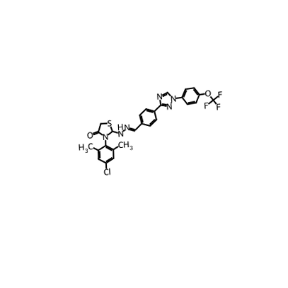 Cc1cc(Cl)cc(C)c1N1C(=O)CSC1N/N=C/c1ccc(-c2ncn(-c3ccc(OC(F)(F)F)cc3)n2)cc1